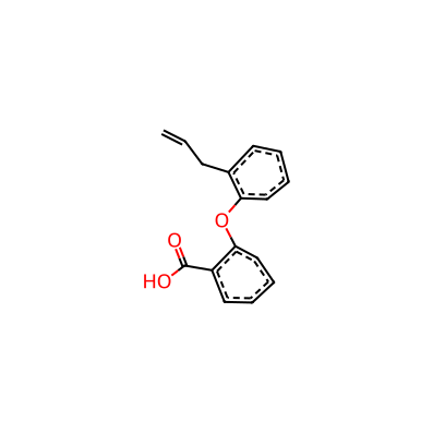 C=CCc1ccccc1Oc1ccccc1C(=O)O